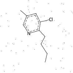 CCCCc1ncc(C)cc1Cl